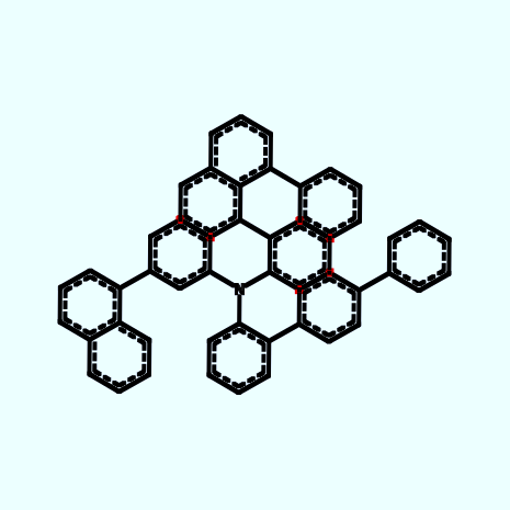 c1ccc(-c2ccc(-c3ccccc3N(c3cccc(-c4cccc5ccccc45)c3)c3ccccc3-c3cccc4cccc(-c5ccccc5)c34)cc2)cc1